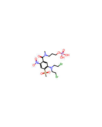 CN(CCCOP(=O)(O)O)C(=O)c1cc(N(CCBr)CCBr)c(S(C)(=O)=O)cc1[N+](=O)[O-]